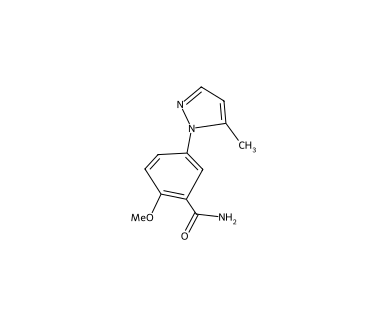 COc1ccc(-n2nccc2C)cc1C(N)=O